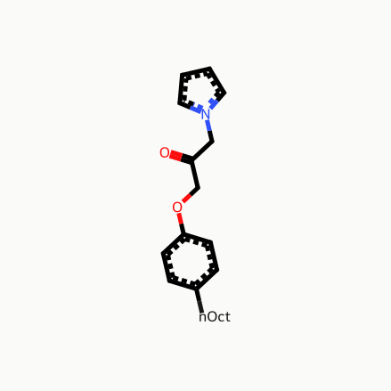 CCCCCCCCc1ccc(OCC(=O)Cn2cccc2)cc1